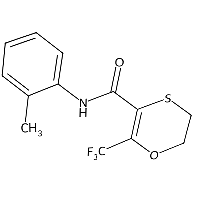 Cc1ccccc1NC(=O)C1=C(C(F)(F)F)OCCS1